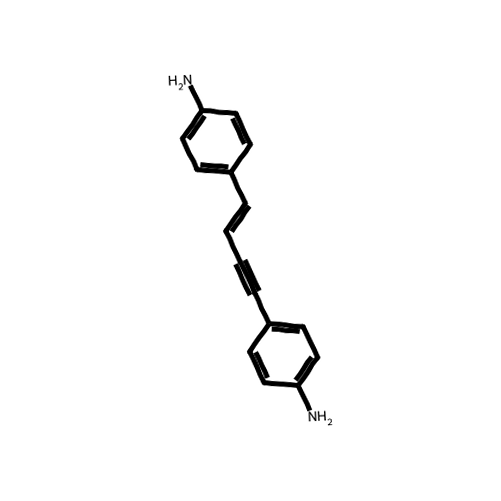 Nc1ccc(C#CC=Cc2ccc(N)cc2)cc1